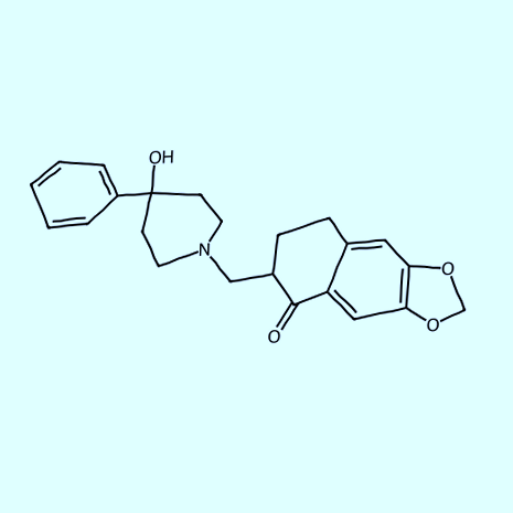 O=C1c2cc3c(cc2CCC1CN1CCC(O)(c2ccccc2)CC1)OCO3